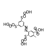 Cc1cc(SOOO)c(N=Nc2cc(SOOO)cc(SOOO)c2)cc1S(=O)(=O)O